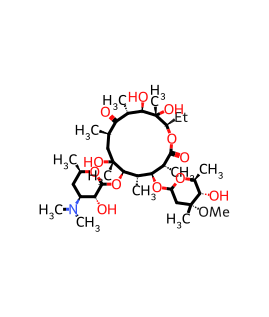 CC[C@H]1OC(=O)[C@H](C)[C@@H](OC2C[C@@](C)(OC)[C@@H](O)[C@H](C)O2)[C@H](C)[C@@H](OC2O[C@H](C)C[C@H](N(C)C)[C@H]2O)[C@](C)(O)C[C@@H](C)C(=O)[C@H](C)[C@@H](O)[C@]1(C)O